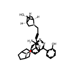 C[C@H]1[C@H]2CN(CC#Cc3cc(N4C5CCC4CN(c4cc(-c6ccccc6O)nnc4N)C5)ccn3)[C@@H]1C[C@H]2O